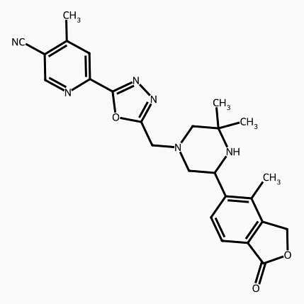 Cc1cc(-c2nnc(CN3CC(c4ccc5c(c4C)COC5=O)NC(C)(C)C3)o2)ncc1C#N